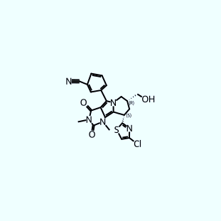 Cn1c(=O)c2c(-c3cccc(C#N)c3)n3c(c2n(C)c1=O)[C@@H](c1nc(Cl)cs1)C[C@@H](CO)C3